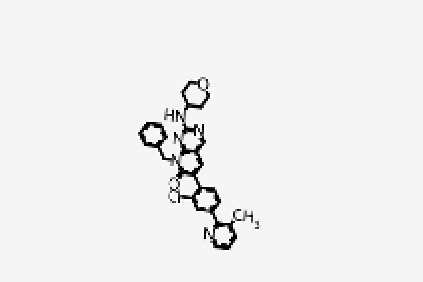 Cc1cccnc1-c1ccc(-c2cc3cnc(NC4CCOCC4)nc3n(Cc3ccccc3)c2=O)c(Cl)c1